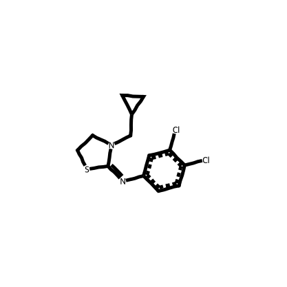 Clc1ccc(N=C2SCCN2CC2CC2)cc1Cl